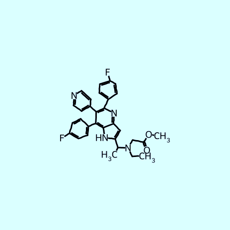 CCN(CC(=O)OC)C(C)c1cc2nc(-c3ccc(F)cc3)c(-c3ccncc3)c(-c3ccc(F)cc3)c2[nH]1